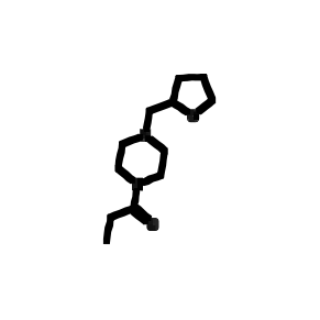 CCC(=O)N1CCN(CC2CCCO2)CC1